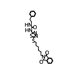 O=C(NCCc1ccccc1)Nc1nnc(SCCCCCCN2C(=O)c3ccccc3C2=O)s1